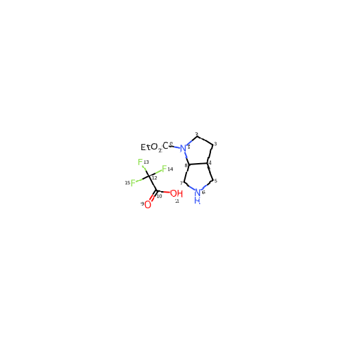 CCOC(=O)N1CCC2CNCC21.O=C(O)C(F)(F)F